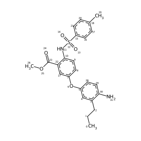 CCCc1cc(Oc2ccc(NS(=O)(=O)c3ccc(C)cc3)c(C(=O)OC)c2)ccc1N